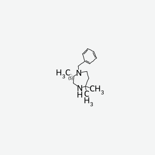 C[C@H]1CNC(C)(C)CCN1Cc1ccccc1